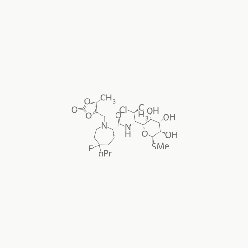 CCCC1(F)CC[C@@H](C(=O)N[C@@H]([C@H]2O[C@H](SC)[C@H](O)[C@@H](O)[C@H]2O)[C@H](C)Cl)N(Cc2oc(=O)oc2C)CC1